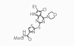 CCc1[nH]c2nc(Sc3nc(C(=O)NOC)cs3)nc(N3CCOCC3)c2c1Cl